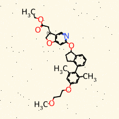 CCOC(=O)C[C@@H]1COc2cc(OC3CCc4c(-c5c(C)cc(OCCCOC)cc5C)cccc43)ncc21